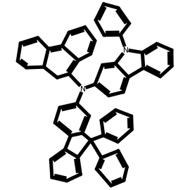 C1=CC2=c3ccccc3=C(N(c3ccc4c(c3)C(c3ccccc3)(c3ccccc3)c3ccccc3-4)c3ccc4c5ccccc5n(-c5ccccc5)c4c3)CC2C=C1